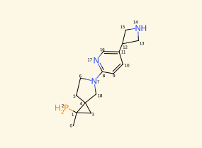 CC1(P)CC12CCN(c1ccc(C3CNC3)cn1)C2